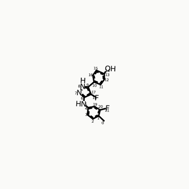 Cc1ccc(Nc2n[nH]c(-c3ccc(O)cc3)c2F)cc1F